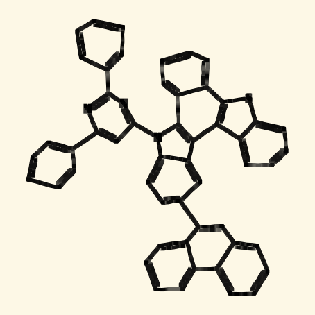 c1ccc(-c2cc(-n3c4ccc(-c5cc6ccccc6c6ccccc56)cc4c4c5c6ccccc6sc5c5ccccc5c43)nc(-c3ccccc3)n2)cc1